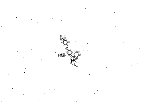 CN1CCN(CC(c2ccc(OCc3ccc(C(F)(F)F)cc3)cc2)C2(O)CCCCC2)CC1.Cl.Cl